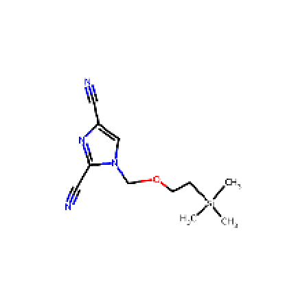 C[Si](C)(C)CCOCn1cc(C#N)nc1C#N